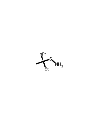 CCC[C@](C)(CC)SN